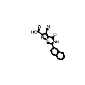 N#Cc1c(C(=O)O)nn2cc(-c3ccc4ccccc4c3)[nH]c(=O)c12